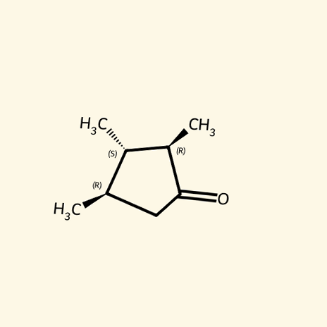 C[C@H]1[C@H](C)CC(=O)[C@@H]1C